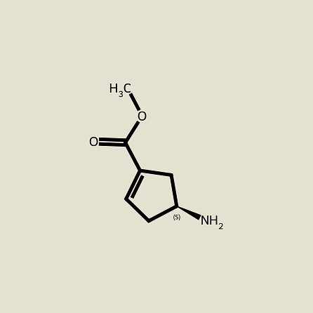 COC(=O)C1=CC[C@H](N)C1